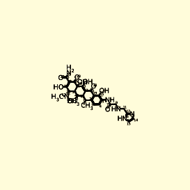 CC1c2ccc(NC(=O)CNCc3ncc[nH]3)c(O)c2C(=O)C2=C(O)C3(O)C(=O)C(C(N)=O)=C(O)[C@@H](N(C)C)C3C(O)C21